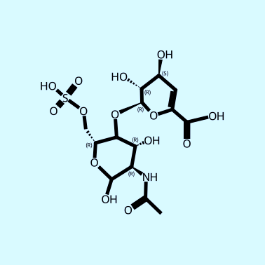 CC(=O)N[C@H]1C(O)O[C@H](COS(=O)(=O)O)C(O[C@@H]2OC(C(=O)O)=C[C@H](O)[C@H]2O)[C@@H]1O